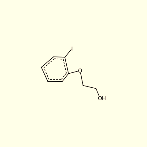 OCCOc1ccccc1I